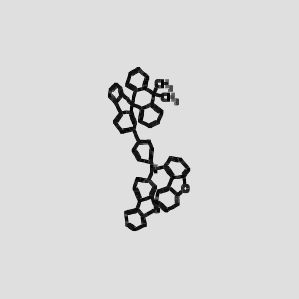 CC1(C)c2ccccc2C2(c3ccccc3-c3ccc(-c4ccc(N(c5ccc6c(c5)sc5ccccc56)c5cccc6oc7ccccc7c56)cc4)cc32)c2ccccc21